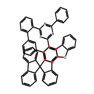 c1ccc(-c2nc(-c3ccccc3-c3cccc(-c4cccc5c4C4(c6ccccc6-c6ccccc64)c4ccccc4-5)c3)nc(-c3cccc4oc5ccccc5c34)n2)cc1